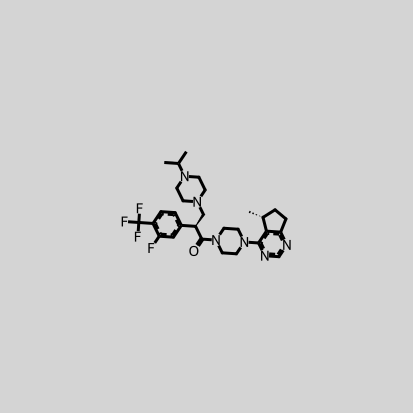 CC(C)N1CCN(C[C@@H](C(=O)N2CCN(c3ncnc4c3[C@H](C)CC4)CC2)c2ccc(C(F)(F)F)c(F)c2)CC1